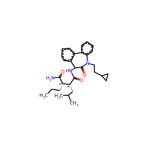 CCC[C@H](C(N)=O)[C@@H](CC(C)C)C(=O)NC1C(=O)N(CCC2CC2)c2ccccc2-c2ccccc21